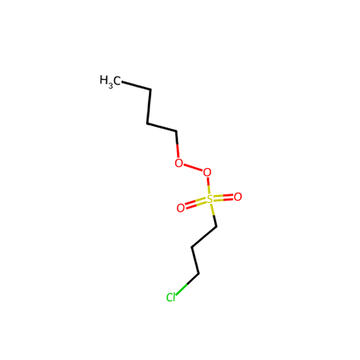 CCCCOOS(=O)(=O)CCCCl